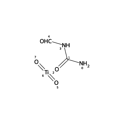 NC(=O)NC=O.[O]=[Ti]=[O]